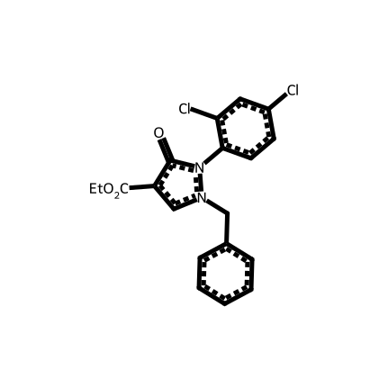 CCOC(=O)c1cn(Cc2ccccc2)n(-c2ccc(Cl)cc2Cl)c1=O